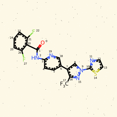 O=C(Nc1ccc(-c2cn(-c3nccs3)nc2C(F)(F)F)cn1)c1c(F)cccc1F